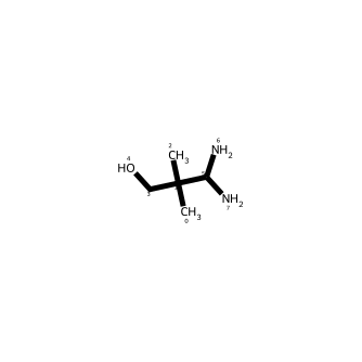 CC(C)(CO)C(N)N